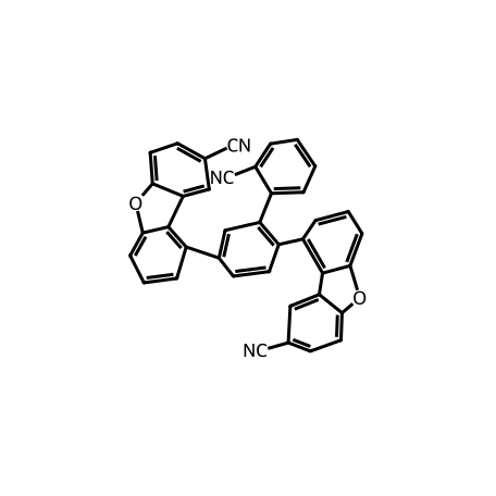 N#Cc1ccc2oc3cccc(-c4ccc(-c5cccc6oc7ccc(C#N)cc7c56)c(-c5ccccc5C#N)c4)c3c2c1